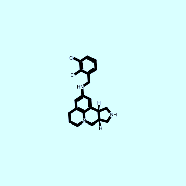 Clc1cccc(CNc2cc3c4c(c2)[C@@H]2CNC[C@@H]2CN4CCC3)c1Cl